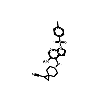 Cc1ccc(S(=O)(=O)n2ccc3c(NN4CCC5(CC4)CC5C#N)c(N)cnc32)cc1